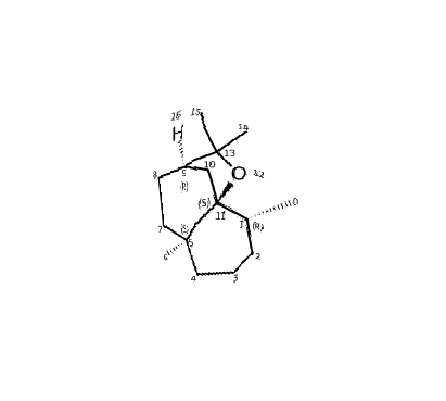 C[C@@H]1CCC[C@@]2(C)CC[C@@H]3C[C@]12OC3(C)C